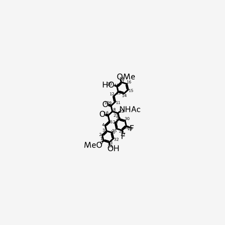 COc1cc(C=CC(=O)C(C(=O)C=Cc2cccc(OC)c2O)C(NC(C)=O)c2ccc(F)c(F)c2)ccc1O